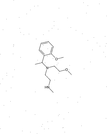 CNCCN(CCOC)C(C)c1ccccc1OC